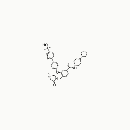 C[C@H]1CC(=O)N(Cc2ccc(C(=O)NC3CCN(C4CCCC4)CC3)cc2Oc2ccc(-c3ccc(C(C)(C)O)nn3)cc2)C1